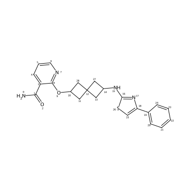 NC(=O)c1cccnc1OC1CC2(CC(Nc3nc(-c4ccccc4)cs3)C2)C1